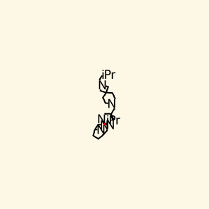 CC(C)CN1CC2(CCN(Cc3cnc(N4C5CCC4CN(C(C)C)C5)nc3)CC2)C1